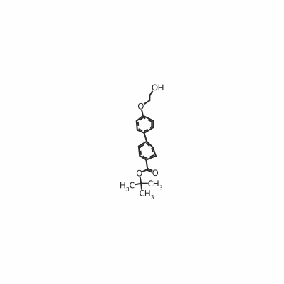 CC(C)(C)OC(=O)c1ccc(-c2ccc(OCCO)cc2)cc1